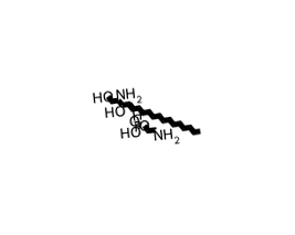 CCCCCCCCCCCCC/C=C/C(O)C(N)CO.NCCO[PH](=O)O